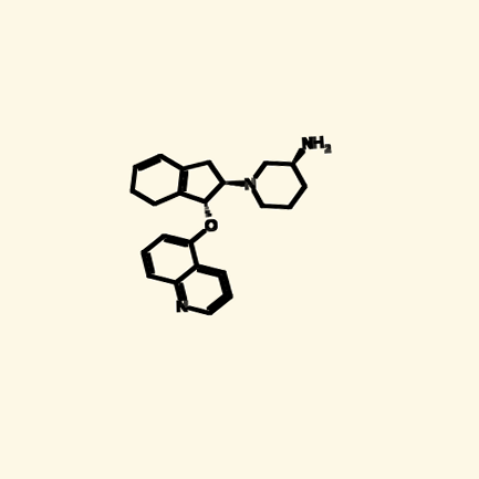 N[C@H]1CCCN([C@@H]2CC3=C(CCC=C3)[C@H]2Oc2cccc3c2=C=C=CN=3)C1